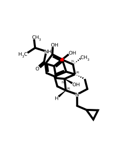 CC(C)NC(=O)C1=C[C@H](C)[C@]23CCN(CC4CC4)[C@H](Cc4ccc(O)c(O)c42)[C@]3(O)C1